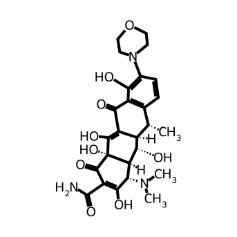 C[C@H]1c2ccc(N3CCOCC3)c(O)c2C(=O)C2=C(O)[C@]3(O)C(=O)C(C(N)=O)=C(O)[C@@H](N(C)C)[C@@H]3[C@@H](O)[C@@H]21